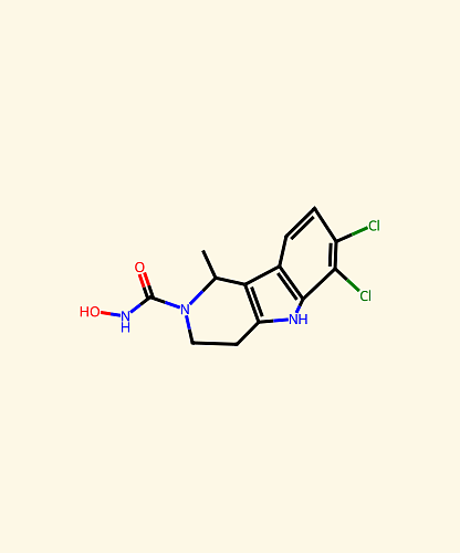 CC1c2c([nH]c3c(Cl)c(Cl)ccc23)CCN1C(=O)NO